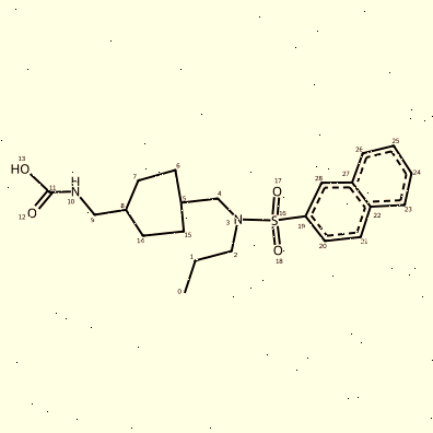 CCCN(CC1CCC(CNC(=O)O)CC1)S(=O)(=O)c1ccc2ccccc2c1